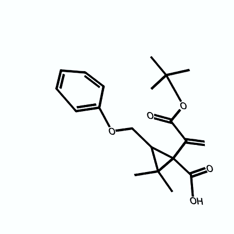 C=C(C(=O)OC(C)(C)C)C1(C(=O)O)C(COc2ccccc2)C1(C)C